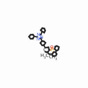 CC1(C)c2ccccc2P(=O)(c2ccccc2)c2cc(-c3ccc(-c4nc(-c5ccccc5)nc(-c5ccccc5)n4)cc3)ccc21